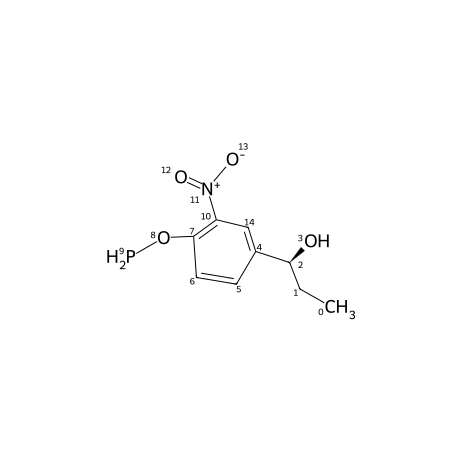 CC[C@H](O)c1ccc(OP)c([N+](=O)[O-])c1